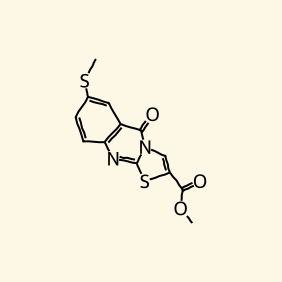 COC(=O)c1cn2c(=O)c3cc(SC)ccc3nc2s1